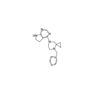 c1ccc(CN2CCN(c3ncnc4c3CCN4)CC23CC3)cc1